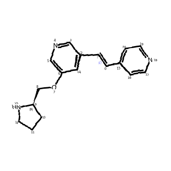 C(=C\c1cncc(OC[C@H]2CCCN2)c1)/c1ccncc1